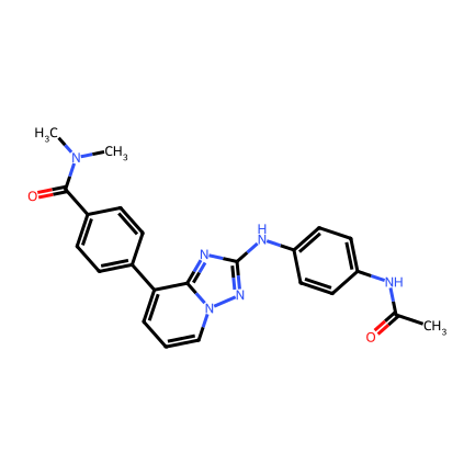 CC(=O)Nc1ccc(Nc2nc3c(-c4ccc(C(=O)N(C)C)cc4)cccn3n2)cc1